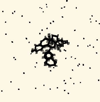 C=C[C@]1(O)CC[C@H]2[C@@H]3CCC4=CC(=O)CCC4=C3[C@@H](c3ccc4c(c3)OCCO4)C[C@@]21C